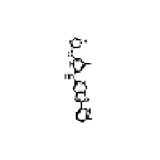 Cc1cc(Nc2cc3nc(-c4cccc(C)n4)sc3cn2)nc(O[C@H]2CCNC2)c1